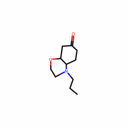 CCCN1CCOC2CC(=O)CCC21